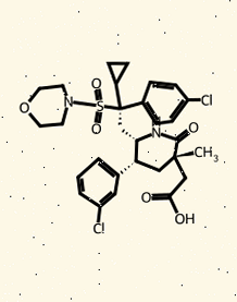 C[C@@]1(CC(=O)O)C[C@H](c2cccc(Cl)c2)[C@H](C[C@@](c2ccc(Cl)cc2)(C2CC2)S(=O)(=O)N2CCOCC2)NC1=O